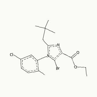 CCOC(=O)c1nc(CC(C)(C)C)n(-c2cc(Cl)ccc2C)c1Br